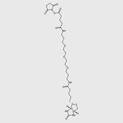 O=C(CCCC[C@@H]1SC[C@@H]2NC(=O)N[C@@H]21)NCCCOCCOCCOCCCNC(=O)CCCC(=O)ON1C(=O)CCC1=O